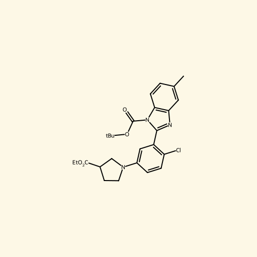 CCOC(=O)C1CCN(c2ccc(Cl)c(-c3nc4cc(C)ccc4n3C(=O)OC(C)(C)C)c2)C1